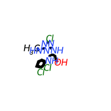 CNc1nc(Cl)nc(NC(CCO)CNc2cccc(Cl)c2Cl)n1